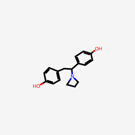 Oc1ccc(CC(c2ccc(O)cc2)N2CCC2)cc1